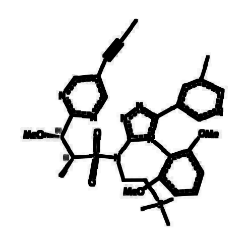 CC#Cc1cnc([C@@H](OC)[C@H](C)S(=O)(=O)N(CCS(C)(C)C)c2nnc(-c3cncc(C)c3)n2-c2c(OC)cccc2OC)nc1